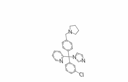 Clc1cccc(C(c2ccc(CN3CCCC3)cc2)(c2ccccn2)n2ccnc2)c1